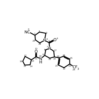 N#CC1CCN(C(=O)N2CC(NC(=O)C3CCCC3)CC(C3=CCC(C(F)(F)F)C=C3)C2)CC1